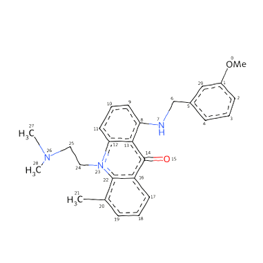 COc1cccc(CNc2cccc3c2c(=O)c2cccc(C)c2n3CCN(C)C)c1